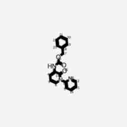 O=C(Nc1cccn(-c2ccccn2)c1=O)OCc1ccccc1